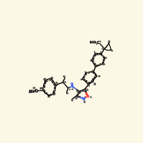 CCOC(=O)C1(c2ccc(-c3ccc(-c4onc(C)c4NC(C)C(C)c4ccc(OC)cc4)cc3)cc2)CC1